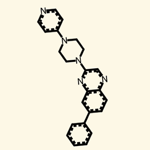 c1ccc(-c2ccc3ncc(N4CCN(c5ccncc5)CC4)nc3c2)cc1